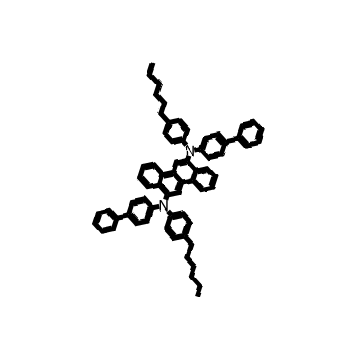 CCCCCCc1ccc(N(c2ccc(-c3ccccc3)cc2)c2cc3c4ccccc4c(N(c4ccc(CCCCCC)cc4)c4ccc(-c5ccccc5)cc4)cc3c3ccccc23)cc1